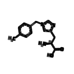 Cc1ccc(Cn2cnc(C[C@H](N)C(=O)O)c2)cc1